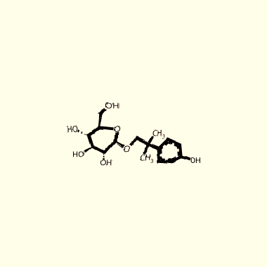 CC(C)(CO[C@@H]1O[C@H](CO)[C@@H](O)[C@H](O)[C@H]1O)c1ccc(O)cc1